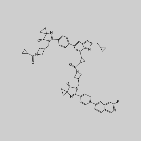 O=C(C1CC1)N1CC(CN2C(=O)C3(CC3)N=C2c2ccc(-c3cc(C4CC4C(=O)N4CC(CN5C(=O)C6(CC6)N=C5c5ccc(-c6ccc7cnc(F)cc7c6)cc5)C4)c4nn(CC5CC5)cc4c3)cc2)C1